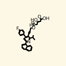 CC(C)c1nc(-c2cccc3ccccc23)cc(-c2ccc(F)cc2)c1C#CCO[PH](=O)C[C@@H](O)CC(=O)O